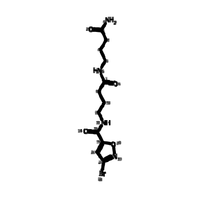 NC(=O)CCCNC(=O)CCCNC(=O)c1cc(Br)no1